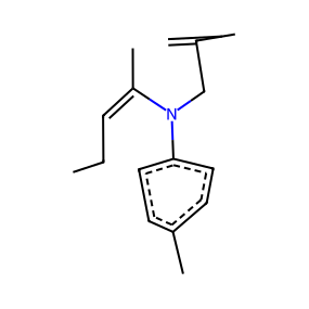 C=C(C)CN(/C(C)=C\CC)c1ccc(C)cc1